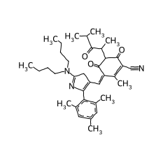 CCCCN(CCCC)C1=NC(c2c(C)cc(C)cc2C)=C(/C=C2\C(=O)C(C(C)C(=O)C(C)C)C(=O)C(C#N)=C2C)C1